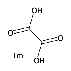 O=C(O)C(=O)O.[Tm]